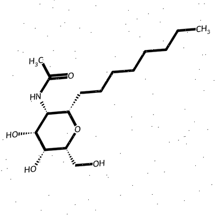 CCCCCCCC[C@@H]1O[C@H](CO)[C@H](O)[C@H](O)[C@@H]1NC(C)=O